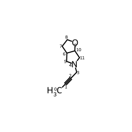 CC#CCN1CC2CCOC2C1